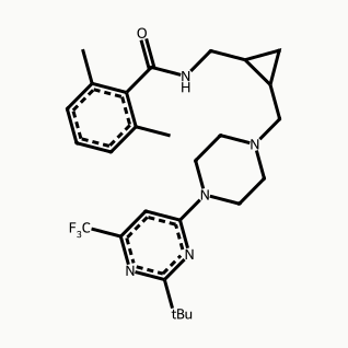 Cc1cccc(C)c1C(=O)NCC1CC1CN1CCN(c2cc(C(F)(F)F)nc(C(C)(C)C)n2)CC1